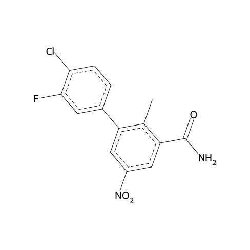 Cc1c(C(N)=O)cc([N+](=O)[O-])cc1-c1ccc(Cl)c(F)c1